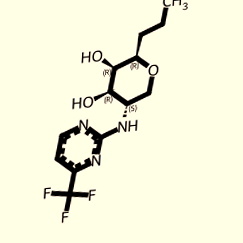 CCC[C@H]1OC[C@H](Nc2nccc(C(F)(F)F)n2)[C@@H](O)[C@H]1O